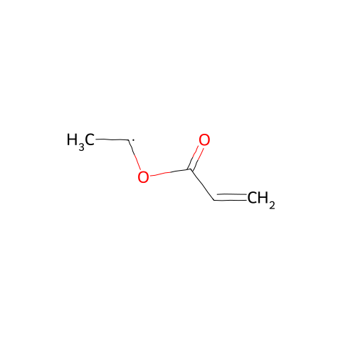 C=CC(=O)O[CH]C